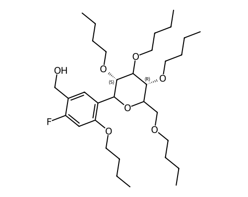 CCCCOCC1OC(c2cc(CO)c(F)cc2OCCCC)[C@H](OCCCC)C(OCCCC)[C@@H]1OCCCC